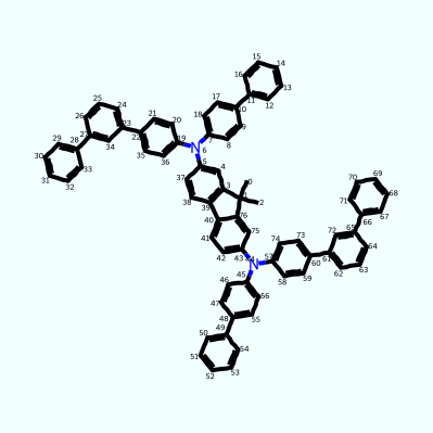 CC1(C)c2cc(N(c3ccc(-c4ccccc4)cc3)c3ccc(-c4cccc(-c5ccccc5)c4)cc3)ccc2-c2ccc(N(c3ccc(-c4ccccc4)cc3)c3ccc(-c4cccc(-c5ccccc5)c4)cc3)cc21